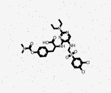 CCN(CC)c1ncc(NCS(=O)(=O)c2ccc(Cl)c(Cl)c2)c(NC(Cc2ccc(OC(=O)N(C)C)cc2)C(=O)O)n1